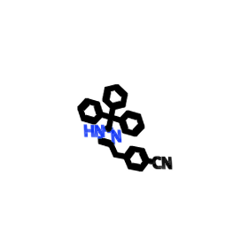 N#Cc1ccc(Cc2c[nH]c(C(c3ccccc3)(c3ccccc3)c3ccccc3)n2)cc1